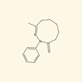 C/C1=N/N(c2ccccc2)C(=O)CCCCC1